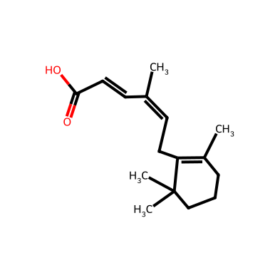 CC(C=CC(=O)O)=CCC1=C(C)CCCC1(C)C